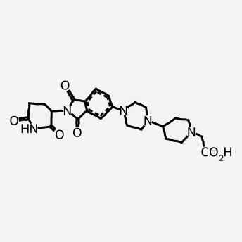 O=C(O)CN1CCC(N2CCN(c3ccc4c(c3)C(=O)N(C3CCC(=O)NC3=O)C4=O)CC2)CC1